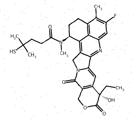 CC[C@@]1(O)C(=O)OCc2c1cc1n(c2=O)Cc2c-1nc1cc(F)c(C)c3c1c2[C@@H](N(C)C(=O)CCC(C)(C)S)CC3